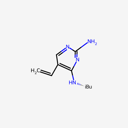 C=Cc1cnc(N)nc1N[C@@H](C)CC